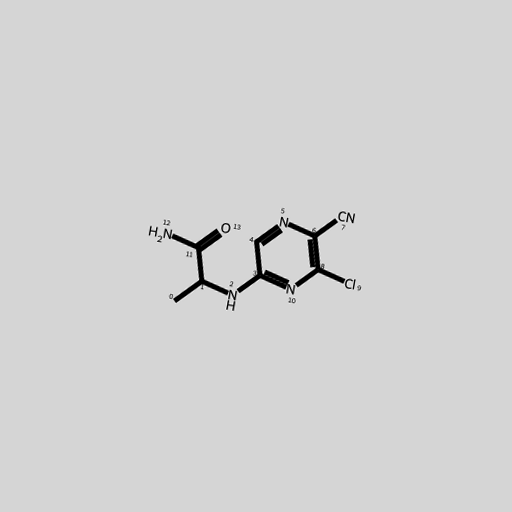 CC(Nc1cnc(C#N)c(Cl)n1)C(N)=O